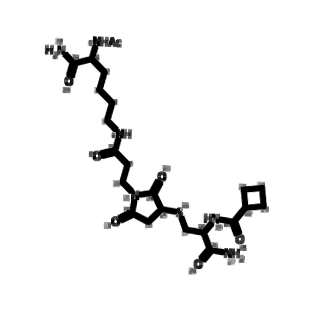 CC(=O)NC(CCCCNC(=O)CCN1C(=O)CC(SCC(NC(=O)C2CCC2)C(N)=O)C1=O)C(N)=O